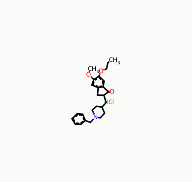 CCCOc1cc2c(cc1OC)CC(CC1CCN(Cc3ccccc3)CC1)C2=O.Cl